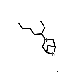 CCCCC(CC)N1CC2CC(C1)N2